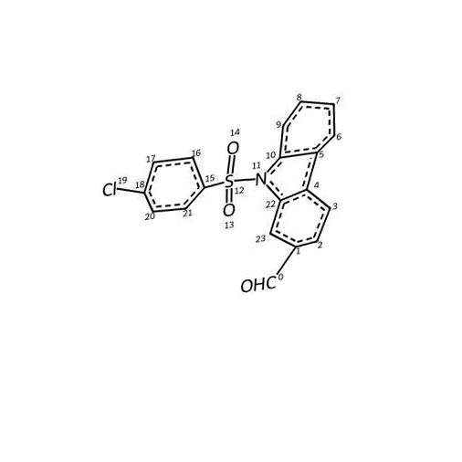 O=Cc1ccc2c3ccccc3n(S(=O)(=O)c3ccc(Cl)cc3)c2c1